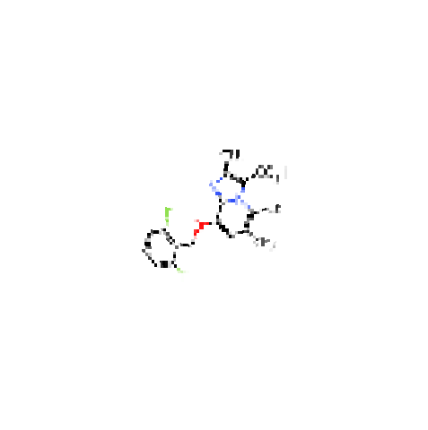 CCc1c(C)cc(OCc2c(F)cccc2F)c2nc(C)c(C(=O)O)n12